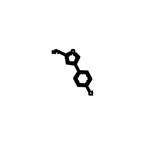 [CH2]CCc1cc(-c2ccc(Cl)cc2)co1